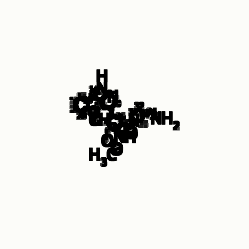 COC(=O)Nc1ccc(-c2cnc3[nH]cc(-c4ccccc4OC)c3c2)cc1C(=O)N1CC[C@@H](CN)C1